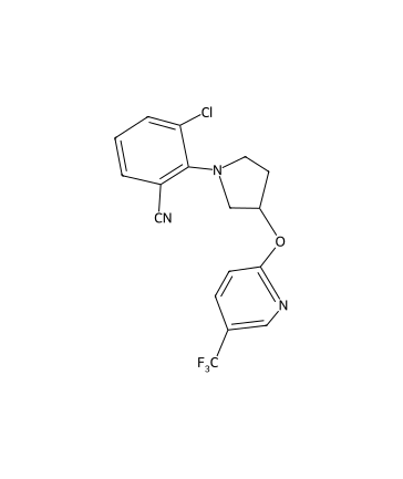 N#Cc1cccc(Cl)c1N1CCC(Oc2ccc(C(F)(F)F)cn2)C1